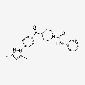 Cc1cc(C)n(-c2ccc(C(=O)N3CCN(C(=O)Nc4cccnc4)CC3)cc2)n1